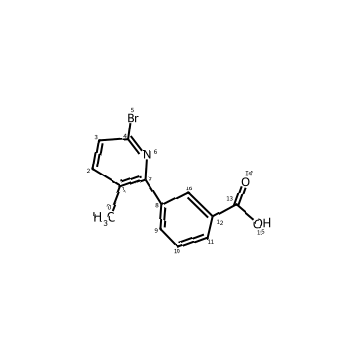 Cc1ccc(Br)nc1-c1cccc(C(=O)O)c1